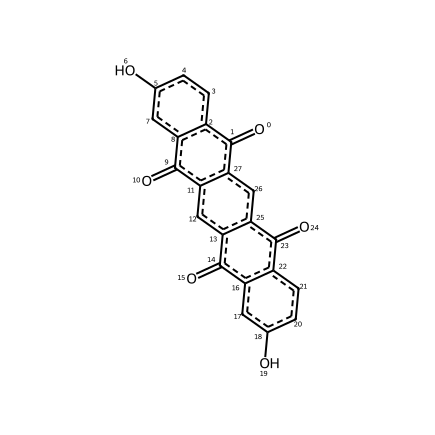 O=c1c2ccc(O)cc2c(=O)c2cc3c(=O)c4cc(O)ccc4c(=O)c3cc12